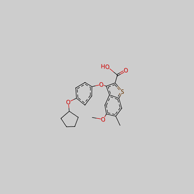 COc1cc2c(Oc3ccc(OC4CCCC4)cc3)c(C(=O)O)sc2cc1C